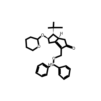 CC(C)(C)[C@H]1[C@H](OC2CCCCO2)CC2=C(CO[SiH](c3ccccc3)c3ccccc3)C(=O)C[C@@H]21